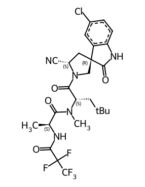 C[C@H](NC(=O)C(F)(F)C(F)(F)F)C(=O)N(C)[C@@H](CC(C)(C)C)C(=O)N1C[C@]2(C[C@H]1C#N)C(=O)Nc1ccc(Cl)cc12